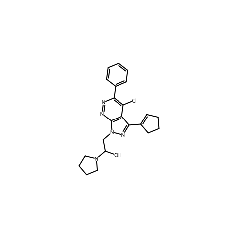 OC(Cn1nc(C2=CCCC2)c2c(Cl)c(-c3ccccc3)nnc21)N1CCCC1